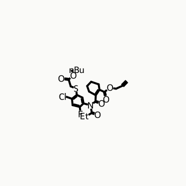 C#CCOC(=O)C1=C(C(=O)N(C(=O)CC)c2cc(SCC(=O)OCCCC)c(Cl)cc2F)CCCC1